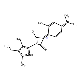 CCc1c(C)[nH]c(C2=C([O-])/C(=C3/C=CC(=[N+](C)C)C=C3O)C2=O)c1C